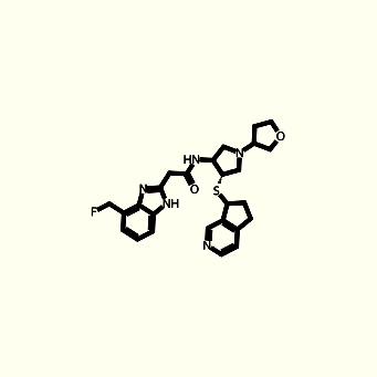 O=C(Cc1nc2c(CF)cccc2[nH]1)NC1CN(C2CCOC2)C[C@@H]1SC1CCc2ccncc21